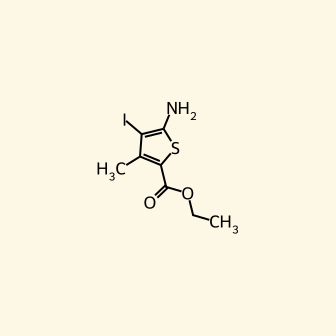 CCOC(=O)c1sc(N)c(I)c1C